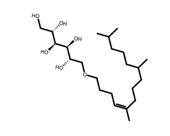 CC(=CCCCOC[C@H](O)[C@H](O)[C@@H](O)[C@@H](O)CO)CCCC(C)CCCC(C)C